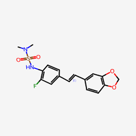 CN(C)S(=O)(=O)Nc1ccc(/C=C/c2ccc3c(c2)OCO3)cc1F